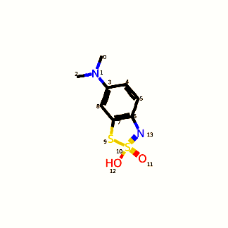 CN(C)c1ccc2c(c1)SS(=O)(O)=N2